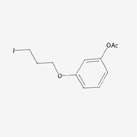 CC(=O)Oc1cccc(OCCCI)c1